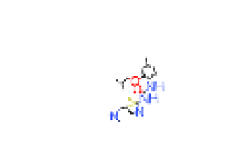 Cc1ccc(NC(=O)Nc2ncc(CN(C)C)s2)c(OCC(C)C)c1